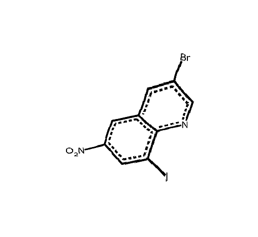 O=[N+]([O-])c1cc(I)c2ncc(Br)cc2c1